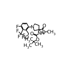 COC(=O)[C@@]1(NC(=O)OC(C)(C)C)CCN(c2ccc(F)c(C(F)(F)F)c2CO)C1